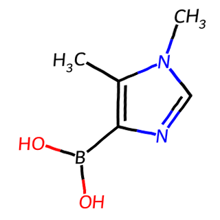 Cc1c(B(O)O)ncn1C